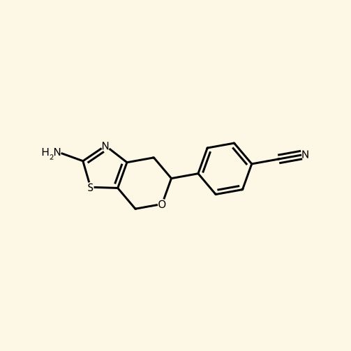 N#Cc1ccc(C2Cc3nc(N)sc3CO2)cc1